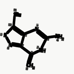 C=C1NC(N)=Nc2c1nsc2C(C)(C)C